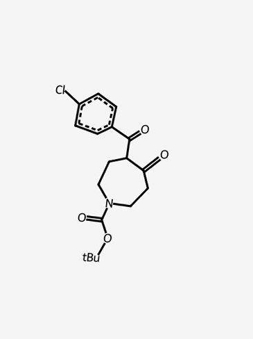 CC(C)(C)OC(=O)N1CCC(=O)C(C(=O)c2ccc(Cl)cc2)CC1